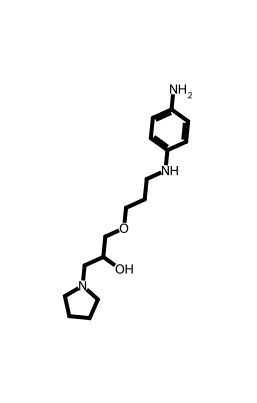 Nc1ccc(NCCCOCC(O)CN2CCCC2)cc1